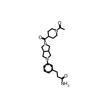 CC(=O)N1CCC(C(=O)N2CC3CN(c4cccc(CCC(N)=O)c4)CC3C2)CC1